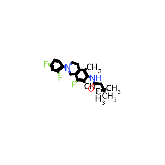 Cc1c(F)c2c(c(C)c1NC(=O)CC(C)(C)C)CCN(c1ccc(F)cc1F)C2